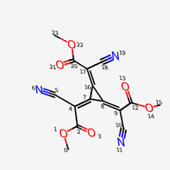 COC(=O)C(C#N)=C1C(=C(C#N)C(=O)OC)C1=C(C#N)C(=O)OC